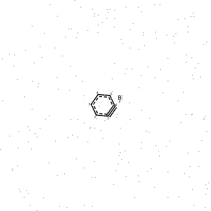 [B].c1ccccc#1